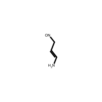 NC=CCN=O